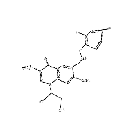 COc1cc2c(cc1NCc1ccc(F)cc1F)c(=O)c(C(=O)O)cn2C(CO)C(C)C